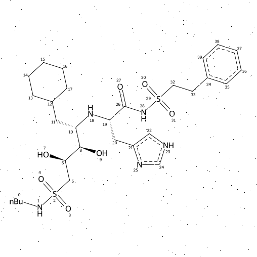 CCCCNS(=O)(=O)C[C@@H](O)[C@H](O)[C@H](CC1CCCCC1)N[C@@H](Cc1c[nH]cn1)C(=O)NS(=O)(=O)CCc1ccccc1